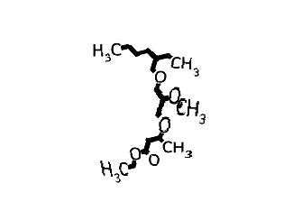 CCCCC(CC)COCC(COC(C)CC(=O)OCC)OC